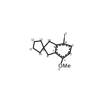 COc1ccc(I)c2c1CC1(CCCC1)C2